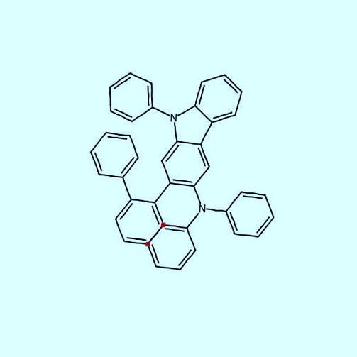 c1ccc(-c2ccccc2-c2cc3c(cc2N(c2ccccc2)c2ccccc2)c2ccccc2n3-c2ccccc2)cc1